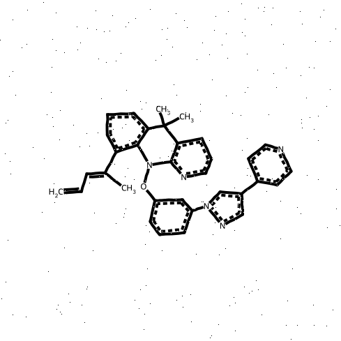 C=C/C=C(\C)c1cccc2c1N(Oc1cccc(-n3cc(-c4ccncc4)cn3)c1)c1ncccc1C2(C)C